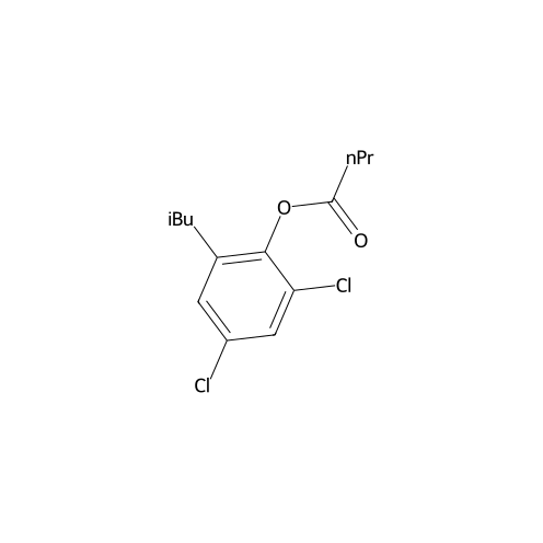 CCCC(=O)Oc1c(Cl)cc(Cl)cc1C(C)CC